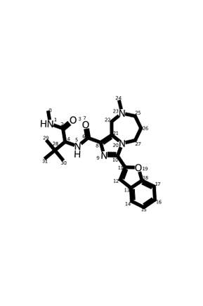 CNC(=O)C(NC(=O)c1nc(-c2cc3ccccc3o2)n2c1CN(C)CCC2)C(C)(C)C